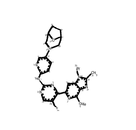 COc1nc(-c2nc(Nc3ccc(N4CC5CCC(C4)O5)cn3)ncc2F)cc2c1nc(C)n2C(C)C